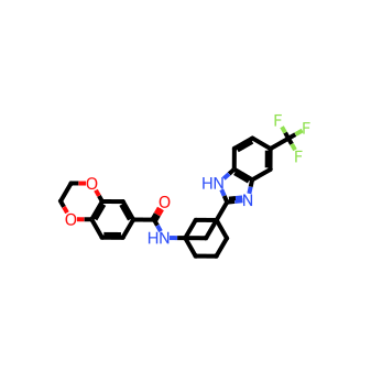 O=C(NC12CCCC(c3nc4cc(C(F)(F)F)ccc4[nH]3)(C1)C2)c1ccc2c(c1)OCCO2